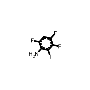 Nc1c(F)cc(F)c(F)c1I